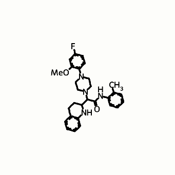 COc1cc(F)ccc1N1CCN(C(C(=O)Nc2ccccc2C)C2CCc3ccccc3N2)CC1